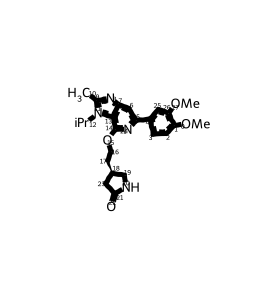 COc1ccc(-c2cc3nc(C)n(C(C)C)c3c(OCC[C@H]3CNC(=O)C3)n2)cc1OC